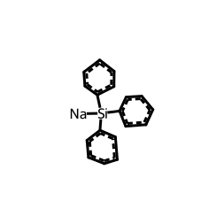 [Na][Si](c1ccccc1)(c1ccccc1)c1ccccc1